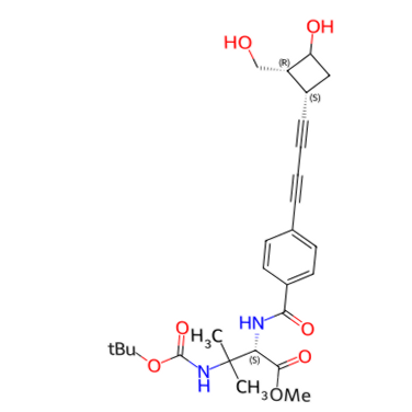 COC(=O)[C@@H](NC(=O)c1ccc(C#CC#C[C@H]2CC(O)[C@H]2CO)cc1)C(C)(C)NC(=O)OC(C)(C)C